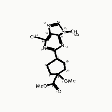 COC(=O)C1(OC)CCC(c2nc(Cl)c3ncn(C)c3n2)CC1